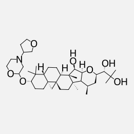 C[C@@H]1C[C@H]([C@H](O)C(C)(C)O)O[C@H]2C1[C@@]1(C)CC[C@@]34C[C@@]35CC[C@H](OC3CN(C6CCOC6)CCO3)C(C)(C)[C@@H]5CC[C@H]4[C@]1(C)[C@H]2O